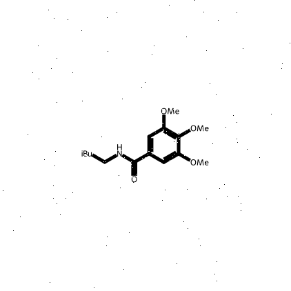 CCC(C)CNC(=O)c1cc(OC)c(OC)c(OC)c1